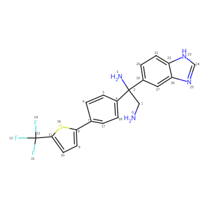 NCC(N)(c1ccc(-c2ccc(C(F)(F)F)s2)cc1)c1ccc2[nH]cnc2c1